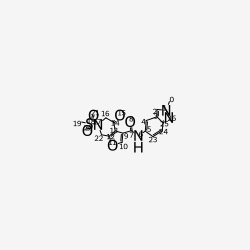 Cn1cc2cc(NC(=O)c3coc4c3C(=O)CN(S(C)(=O)=O)C4)ccc2n1